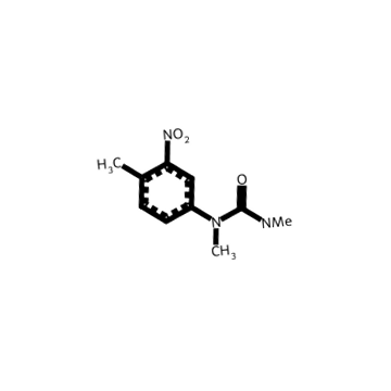 CNC(=O)N(C)c1ccc(C)c([N+](=O)[O-])c1